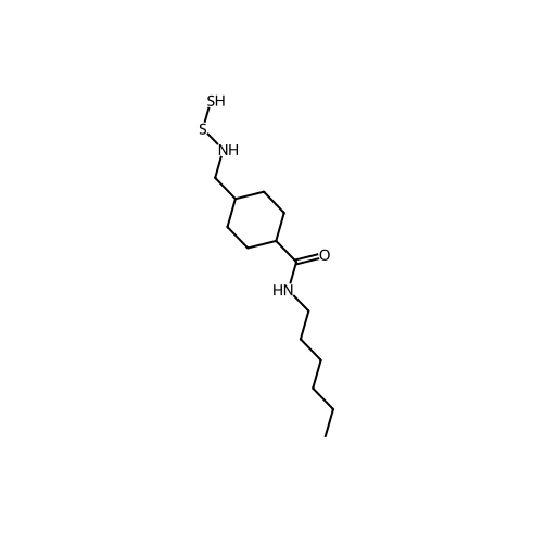 CCCCCCNC(=O)C1CCC(CNSS)CC1